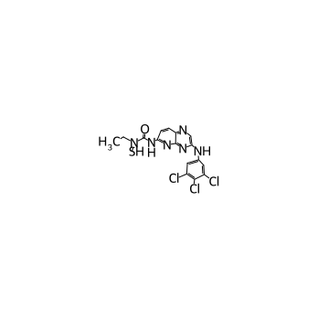 CCN(S)C(=O)Nc1ccc2ncc(Nc3cc(Cl)c(Cl)c(Cl)c3)nc2n1